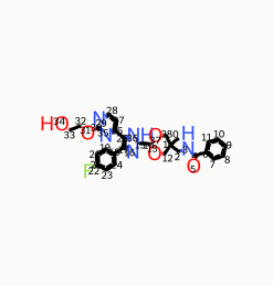 CC1(CNC(=O)c2ccccc2)COC(c2nc(-c3ccc(F)cc3)c(-c3ccnc(OCCO)n3)[nH]2)OC1